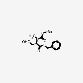 CN(C(=O)OC(C)(C)C)[C@H](CC=O)C(=O)OCc1ccccc1